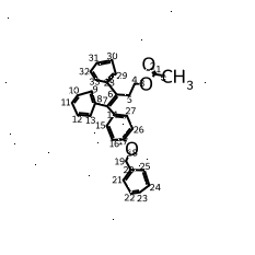 CC(=O)OCCC(=C(c1ccccc1)c1ccc(OCc2ccccc2)cc1)c1ccccc1